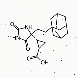 O=C1NC(=O)C(CCC23CC4CC(CC(C4)C2)C3)(C2CC2C(=O)O)N1